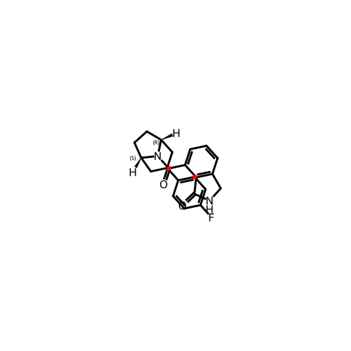 O=C1NCc2cccc(C(=O)N3[C@@H]4CC[C@H]3CC(c3ccc(F)cc3)C4)c21